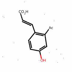 CC(=O)c1cc(O)ccc1C=CC(=O)O